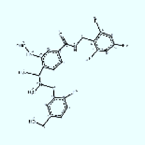 CC(c1ccc(C(=O)NCc2c(F)cc(F)cc2F)cc1NC=O)N(C)Cc1cc(CO)ccc1F